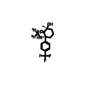 [2H]C([2H])([2H])N[C@@]1(c2ccc(C(F)(F)F)cc2)CCC[C@](C)(O)C1=O